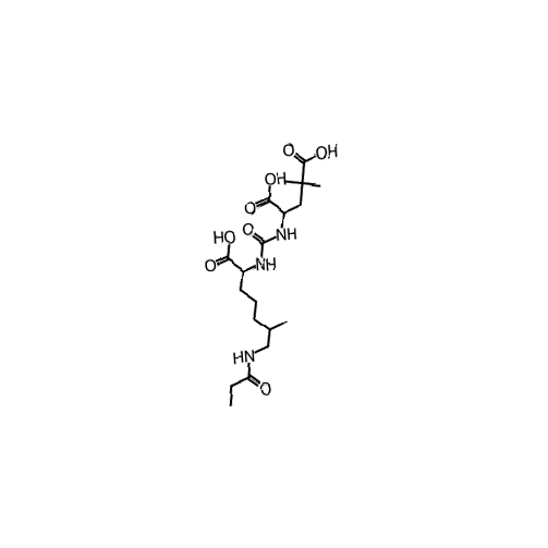 CCC(=O)NCC(C)CCCC(NC(=O)NC(CC(C)(C)C(=O)O)C(=O)O)C(=O)O